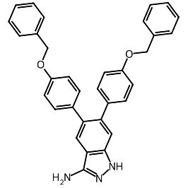 Nc1n[nH]c2cc(-c3ccc(OCc4ccccc4)cc3)c(-c3ccc(OCc4ccccc4)cc3)cc12